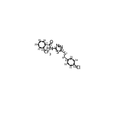 O=C(Nc1nnc(SCc2ccc(Cl)cc2)s1)c1ccccc1C(F)(F)F